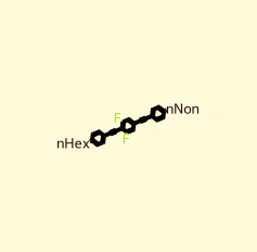 CCCCCCCCCc1ccc(C#Cc2cc(F)c(C#Cc3ccc(CCCCCC)cc3)c(F)c2)cc1